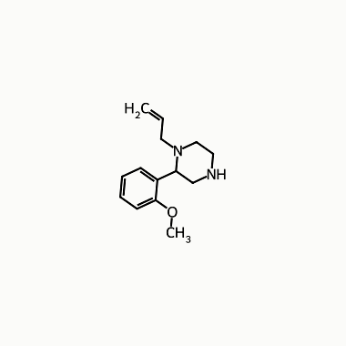 C=CCN1CCNCC1c1ccccc1OC